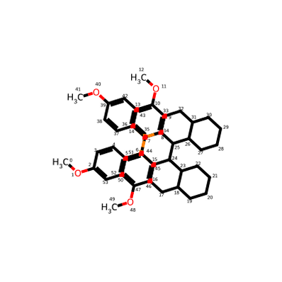 COc1ccc(P(c2ccc(OC)cc2)C2CCC3CCCCC3[C]2[C]2C3CCCCC3CCC2P(c2ccc(OC)cc2)c2ccc(OC)cc2)cc1